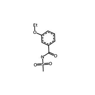 CCOc1cccc(C(=O)[N]S(C)(=O)=O)c1